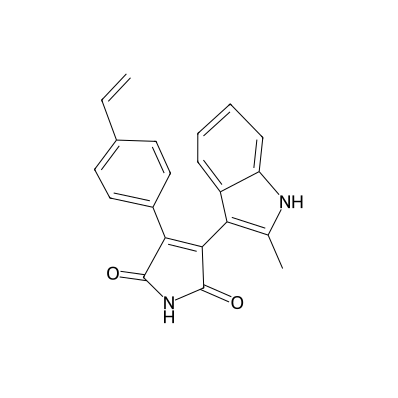 C=Cc1ccc(C2=C(c3c(C)[nH]c4ccccc34)C(=O)NC2=O)cc1